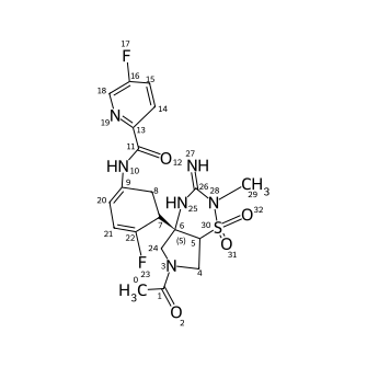 CC(=O)N1CC2[C@](C3CC(NC(=O)c4ccc(F)cn4)=CC=C3F)(C1)NC(=N)N(C)S2(=O)=O